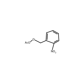 CC(=O)OOCc1ccccc1[N+](=O)[O-]